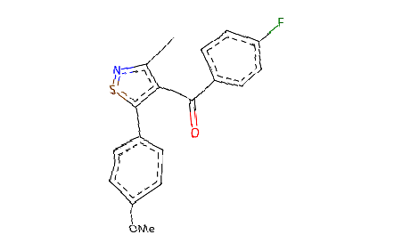 COc1ccc(-c2snc(C)c2C(=O)c2ccc(F)cc2)cc1